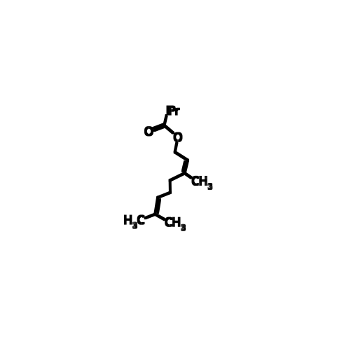 CC(C)=CCCC(C)=CCOC(=O)C(C)C